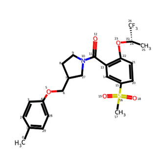 Cc1ccc(OCC2CCN(C(=O)c3cc(S(C)(=O)=O)ccc3O[C@@H](C)C(F)(F)F)C2)cc1